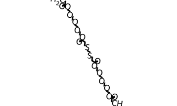 C=CC(=O)OCCOCCOCCOCCOC(=O)CCSCCSCCC(=O)OCCOCCOCCOCCOC(=O)C=C